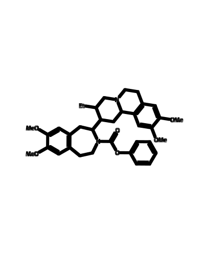 CCC1CN2CCc3cc(OC)c(OC)cc3C2CC1C1Cc2cc(OC)c(OC)cc2CCN1C(=O)Oc1ccccc1